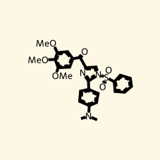 COc1cc(C(=O)c2cn(S(=O)(=O)c3ccccc3)c(-c3ccc(N(C)C)cc3)n2)cc(OC)c1OC